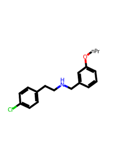 CCCOc1cccc(CNCCc2ccc(Cl)cc2)c1